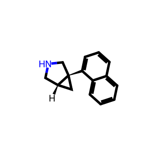 c1ccc2c([C@]34CNC[C@H]3C4)cccc2c1